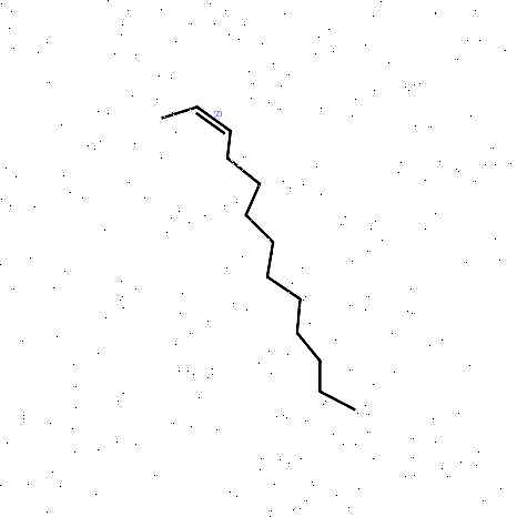 C/C=C\CCCCCCCCCC